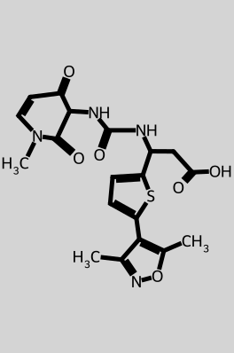 Cc1noc(C)c1-c1ccc(C(CC(=O)O)NC(=O)NC2C(=O)C=CN(C)C2=O)s1